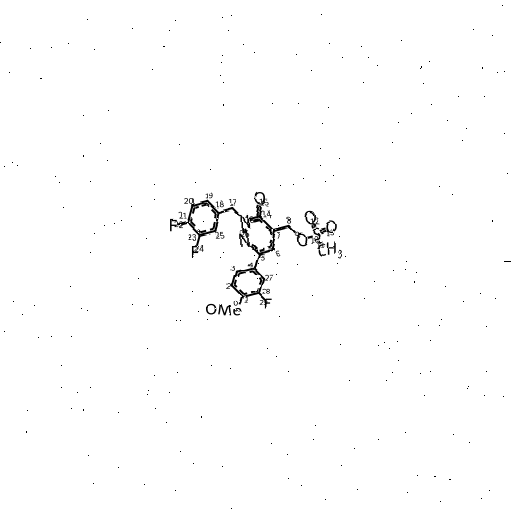 COc1ccc(-c2cc(COS(C)(=O)=O)c(=O)n(Cc3ccc(F)c(F)c3)n2)cc1F